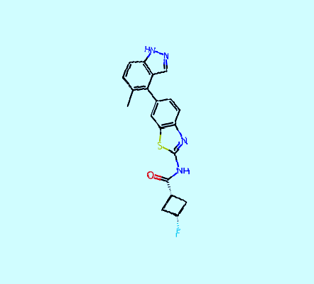 Cc1ccc2[nH]ncc2c1-c1ccc2nc(NC(=O)[C@H]3C[C@@H](F)C3)sc2c1